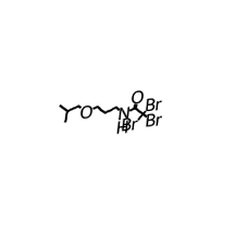 CC(C)COCCCNC(=O)C(Br)(Br)Br